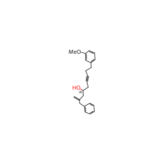 C=C(Cc1ccccc1)C[C@@H](O)CC#CCCc1cccc(OC)c1